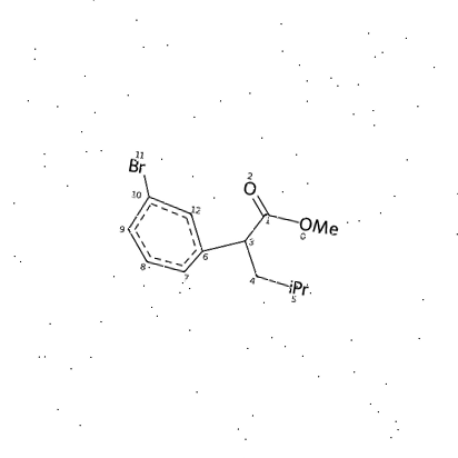 COC(=O)C(CC(C)C)c1cccc(Br)c1